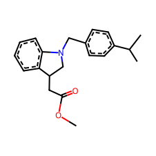 COC(=O)CC1CN(Cc2ccc(C(C)C)cc2)c2ccccc21